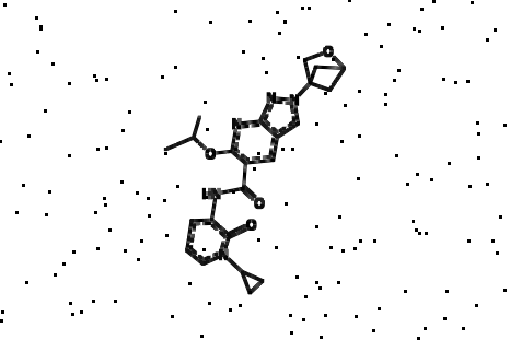 CC(C)Oc1nc2nn(C34COC(C3)C4)cc2cc1C(=O)Nc1cccn(C2CC2)c1=O